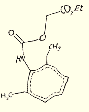 CCOC(=O)COC(=O)Nc1c(C)cccc1C